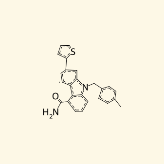 Cc1ccc(Cn2c3cc(-c4cccs4)c[c]c3c3c(C(N)=O)cccc32)cc1